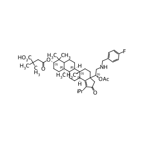 CC(=O)O[C@H](CNCc1ccc(F)cc1)C12CC[C@]3(C)[C@H](CCC4[C@H]3CCC3C(C)(C)[C@@H](OC(=O)CC(C)(C)C(=O)O)CC[C@]43C)C1=C(C(C)C)C(=O)C2